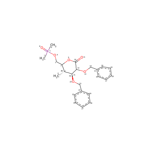 C[C@@H]1C(COP(C)(C)=O)OC(=O)C(OCc2ccccc2)[C@H]1OCc1ccccc1